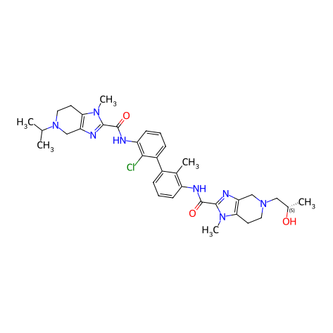 Cc1c(NC(=O)c2nc3c(n2C)CCN(C[C@H](C)O)C3)cccc1-c1cccc(NC(=O)c2nc3c(n2C)CCN(C(C)C)C3)c1Cl